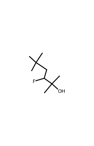 CC(C)(C)CC(F)C(C)(C)O